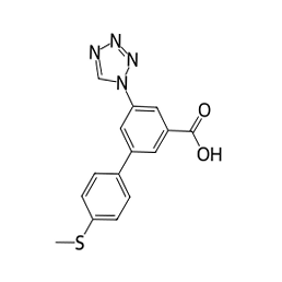 CSc1ccc(-c2cc(C(=O)O)cc(-n3cnnn3)c2)cc1